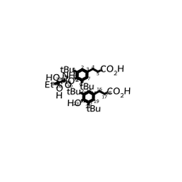 CC(C)(C)c1cc(CCC(=O)O)cc(C(C)(C)C)c1O.CC(C)(C)c1cc(CCC(=O)O)cc(C(C)(C)C)c1O.CCC(O)(O)C(N)=O